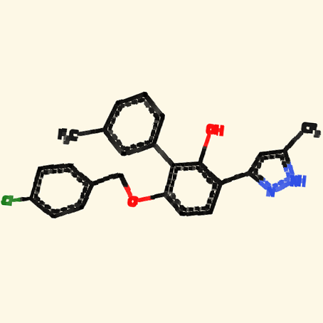 Oc1c(-c2cc(C(F)(F)F)[nH]n2)ccc(OCc2ccc(Cl)cc2)c1-c1cccc(C(F)(F)F)c1